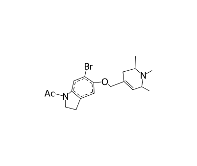 CC(=O)N1CCc2cc(OCC3=CC(C)N(C)C(C)C3)c(Br)cc21